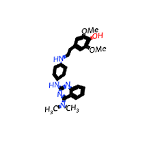 COc1cc(CCN[C@H]2CC[C@@H](Nc3nc(N(C)C)c4ccccc4n3)CC2)cc(OC)c1O